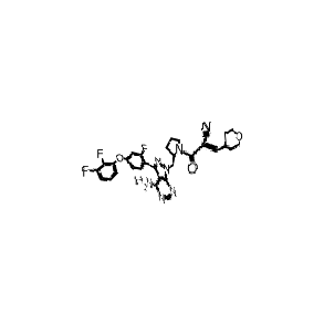 N#CC(=CC1CCOCC1)C(=O)N1CCCC1Cn1nc(-c2ccc(Oc3cccc(F)c3F)cc2F)c2c(N)ncnc21